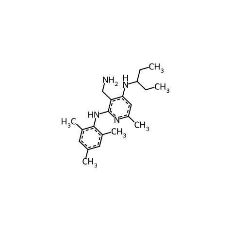 CCC(CC)Nc1cc(C)nc(Nc2c(C)cc(C)cc2C)c1CN